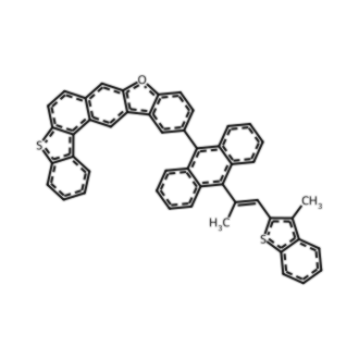 C/C(=C\c1sc2ccccc2c1C)c1c2ccccc2c(-c2ccc3oc4cc5ccc6sc7ccccc7c6c5cc4c3c2)c2ccccc12